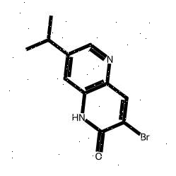 CC(C)c1cnc2cc(Br)c(=O)[nH]c2c1